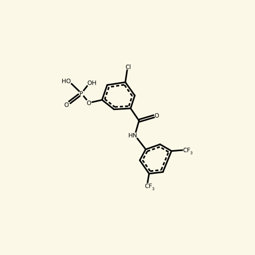 O=C(Nc1cc(C(F)(F)F)cc(C(F)(F)F)c1)c1cc(Cl)cc(OP(=O)(O)O)c1